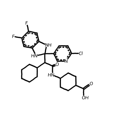 O=C(O)C1CCC(NC(=O)C(C2CCCCC2)C2(c3ccc(Cl)nc3)Nc3cc(F)c(F)cc3N2)CC1